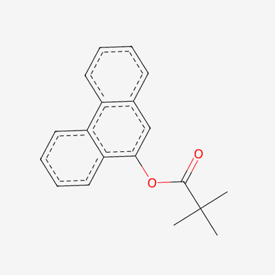 CC(C)(C)C(=O)Oc1cc2ccccc2c2ccccc12